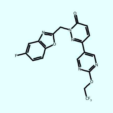 O=c1ccc(-c2cnc(OCC(F)(F)F)nc2)nn1Cc1nc2cc(F)ccc2o1